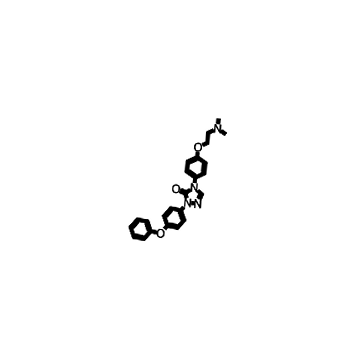 CN(C)CCOc1ccc(-n2cnn(-c3ccc(Oc4ccccc4)cc3)c2=O)cc1